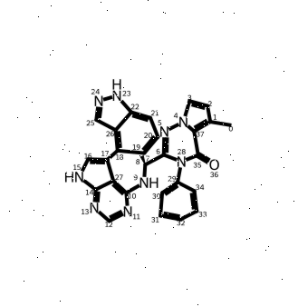 Cc1ccn2nc([C@H](C)Nc3ncnc4[nH]cc(-c5cccc6[nH]ncc56)c34)n(-c3ccccc3)c(=O)c12